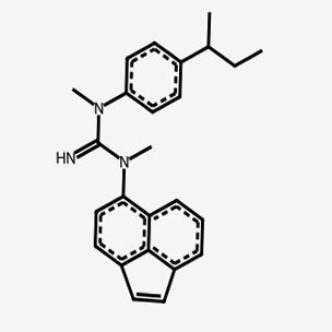 CCC(C)c1ccc(N(C)C(=N)N(C)c2ccc3c4c(cccc24)C=C3)cc1